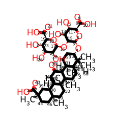 CC1(C)[C@@H](O[C@H]2O[C@H](C(=O)O)[C@@H](O)[C@H](O)[C@H]2O[C@@H]2O[C@H](C(=O)O)[C@@H](O)[C@H](O)[C@H]2O)CC[C@]2(C)[C@H]3C(=O)C=C4[C@@H]5C[C@@](C)(C(=O)O)CC[C@]5(C)CC[C@@]4(C)[C@]3(C)CC[C@@H]12.[H+]